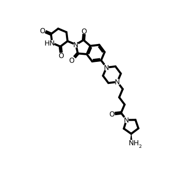 N[C@@H]1CCN(C(=O)CCCN2CCN(c3ccc4c(c3)C(=O)N(C3CCC(=O)NC3=O)C4=O)CC2)C1